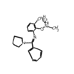 Cc1cccc(N=C(c2ccccc2)N2CCCC2)c1O[SiH](C)C